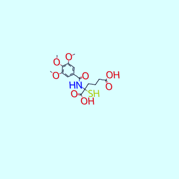 COc1cc(C(=O)NC(S)(CCCC(=O)O)C(=O)O)cc(OC)c1OC